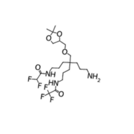 CC1(C)OCC(COCC(CCCN)(CCCNC(=O)C(F)F)CCCNC(=O)C(F)(F)F)O1